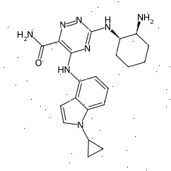 NC(=O)c1nnc(N[C@@H]2CCCC[C@@H]2N)nc1Nc1cccc2c1ccn2C1CC1